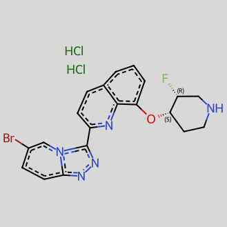 Cl.Cl.F[C@@H]1CNCC[C@@H]1Oc1cccc2ccc(-c3nnc4ccc(Br)cn34)nc12